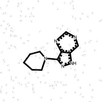 c1ncc2[nH]nc(N3CCCCC3)c2n1